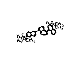 C[Si](C)(C)c1ccc2cc(-c3cccc4c(-c5ccc([Si](C)(C)C)c6ccccc56)cccc34)ccc2c1